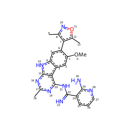 COc1cc2c(cc1-c1c(C)noc1C)[nH]c1nc(C)nc(NC(=N)c3cccnc3N)c12